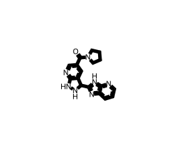 O=C(c1cnc2c(c1)C(c1nc3cccnc3[nH]1)NN2)N1CCCC1